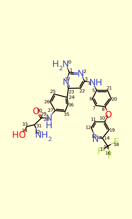 Nc1nc(Nc2ccc(Oc3ccnc(C(F)(F)F)c3)cc2)cc(-c2ccc(NC(=O)C(N)CO)cc2)n1